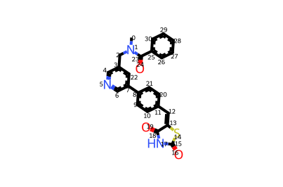 CN(Cc1cncc(-c2ccc(C=C3SC(=O)NC3=O)cc2)c1)C(=O)c1ccccc1